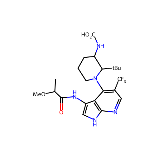 COC(C)C(=O)Nc1c[nH]c2ncc(C(F)(F)F)c(N3CCCC(NC(=O)O)C3C(C)(C)C)c12